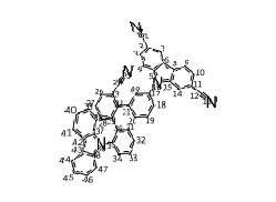 N#Cc1ccc2c(c1)c1ccc(C#N)cc1n2-c1cccc(-c2c(C#N)cccc2-c2ccccc2-n2c3ccccc3c3ccccc32)c1